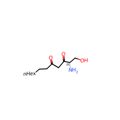 CCCCCCCCC(=O)CC(=O)[C@@H](N)CO